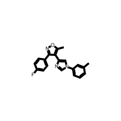 Cc1cccc(-n2cnc(-c3c(-c4ccc(F)cc4)noc3C)c2)c1